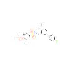 CCC(Oc1ccc(S(=O)(=O)N2Cc3cc(-c4ccc(F)cc4)ccc3C(C)C2)cc1C)C(=O)O